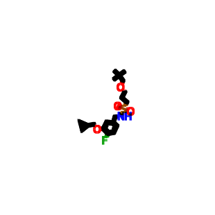 CC(C)(C)COCCCS(=O)(=O)NCc1ccc(F)c(OCC2CC2)c1